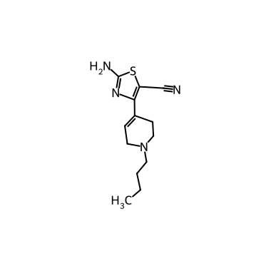 CCCCN1CC=C(c2nc(N)sc2C#N)CC1